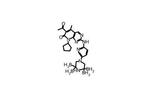 BC1(B)CN(c2ccc(Nc3ncc4c(C)c(C(C)=O)c(=O)n(C5CCCC5)c4n3)nc2)CC(B)(B)N1